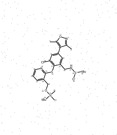 Cc1noc(C)c1-c1cc(Cl)c(Sc2ncccc2CO[Si](C)(C)C(C)(C)C)c(CN[S+]([O-])C(C)(C)C)c1